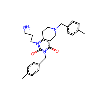 Cc1ccc(CN2CCc3c(c(=O)n(Cc4ccc(C)cc4)c(=O)n3CCCN)C2)cc1